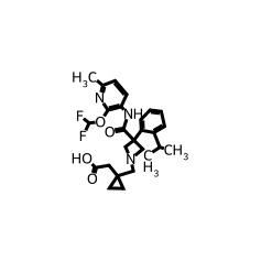 Cc1ccc(NC(=O)C2(c3ccccc3C(C)C)CN(CC3(CC(=O)O)CC3)C2)c(OC(F)F)n1